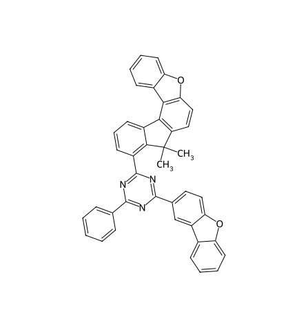 CC1(C)c2ccc3oc4ccccc4c3c2-c2cccc(-c3nc(-c4ccccc4)nc(-c4ccc5oc6ccccc6c5c4)n3)c21